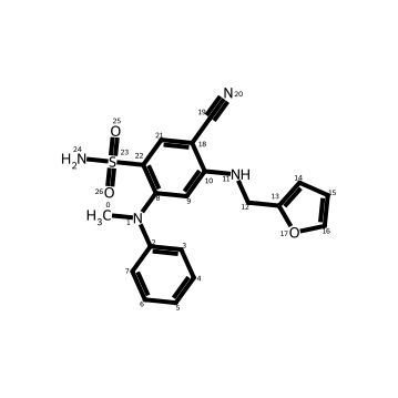 CN(c1ccccc1)c1cc(NCc2ccco2)c(C#N)cc1S(N)(=O)=O